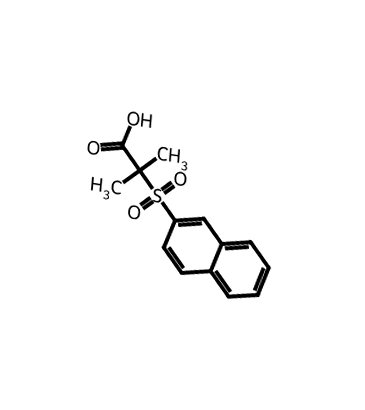 CC(C)(C(=O)O)S(=O)(=O)c1ccc2ccccc2c1